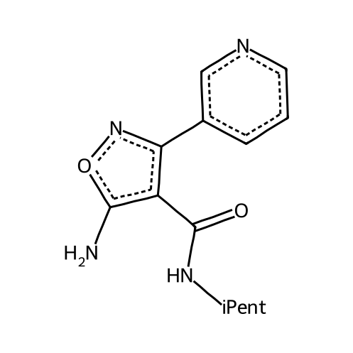 CCCC(C)NC(=O)c1c(-c2cccnc2)noc1N